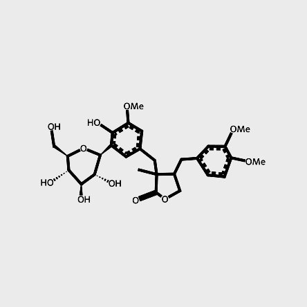 COc1ccc(CC2COC(=O)C2(C)Cc2cc(OC)c(O)c([C@@H]3O[C@H](CO)[C@@H](O)[C@H](O)[C@H]3O)c2)cc1OC